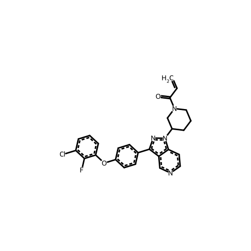 C=CC(=O)N1CCCC(n2nc(-c3ccc(Oc4cccc(Cl)c4F)cc3)c3cnccc32)C1